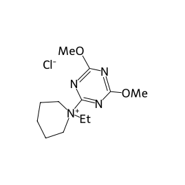 CC[N+]1(c2nc(OC)nc(OC)n2)CCCCC1.[Cl-]